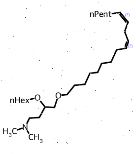 CCCCC/C=C\C/C=C\CCCCCCCCOCC(CCN(C)C)OCCCCCC